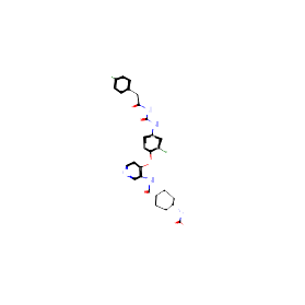 O=C(Cc1ccc(F)cc1)NC(=O)Nc1ccc(Oc2ccncc2NC(=O)[C@H]2CC[C@H](NC(=O)O)CC2)c(F)c1